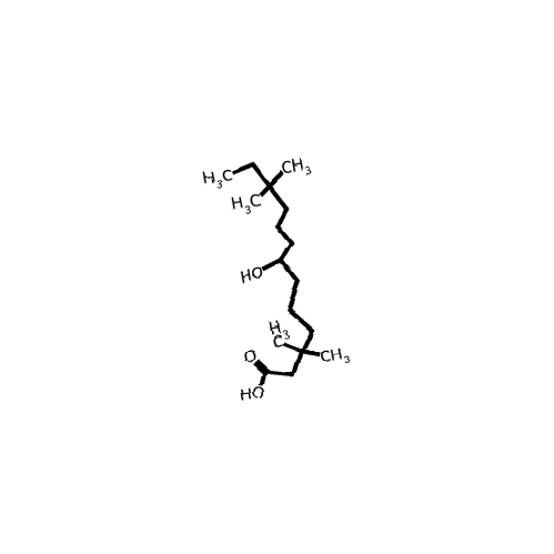 CCC(C)(C)CCCC(O)CCCC(C)(C)CC(=O)O